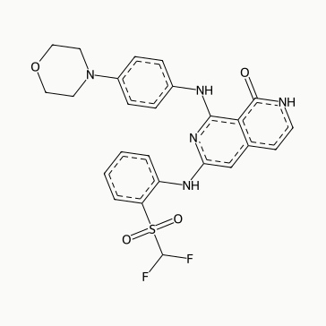 O=c1[nH]ccc2cc(Nc3ccccc3S(=O)(=O)C(F)F)nc(Nc3ccc(N4CCOCC4)cc3)c12